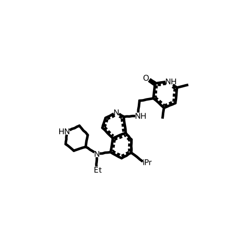 CCN(c1cc(C(C)C)cc2c(NCc3c(C)cc(C)[nH]c3=O)nccc12)C1CCNCC1